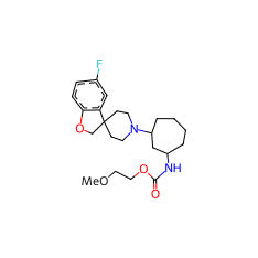 COCCOC(=O)NC1CCCCC(N2CCC3(CC2)COc2ccc(F)cc23)C1